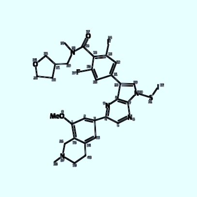 COc1cc(-c2cnc3c(n2)c(-c2cc(F)c(C(=O)N(C)CC4CCOC4)c(F)c2)cn3SI)cc2c1CN(C)CC2